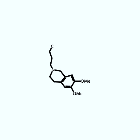 COc1cc2c(cc1OC)CN(CCCCl)CC2